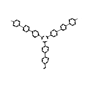 C=Cc1ccc(-c2ccc(-c3nc(-c4ccc(-c5ccc(-c6ccc(C(C)(C)C)cc6)cc5)cc4)nc(-c4ccc(-c5ccc(-c6ccc(C(C)(C)C)cc6)cc5)cc4)n3)cc2)cc1